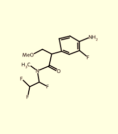 COCC(C(=O)N(C)C(F)C(F)F)c1ccc(N)c(F)c1